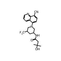 CC(C)(O)CC(=O)NC1CC(C(F)(F)F)CN(c2ccc(C#N)c3ncccc23)C1